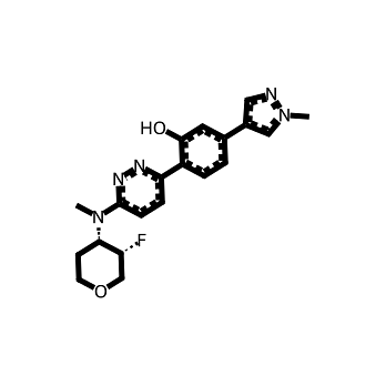 CN(c1ccc(-c2ccc(-c3cnn(C)c3)cc2O)nn1)[C@H]1CCOC[C@H]1F